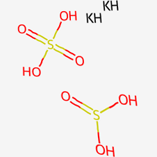 O=S(=O)(O)O.O=S(O)O.[KH].[KH]